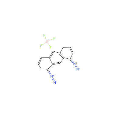 F[B-](F)(F)F.[N-]=[N+]=C1CC=Cc2cc3c(cc21)C(=[N+]=[N-])C=CC3